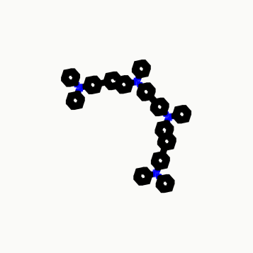 c1ccc(N(c2ccccc2)c2ccc(-c3ccc4cc(N(c5ccccc5)c5ccc(-c6ccc(N(c7ccccc7)c7ccc8cc(-c9ccc(N(c%10ccccc%10)c%10ccccc%10)cc9)ccc8c7)cc6)cc5)ccc4c3)cc2)cc1